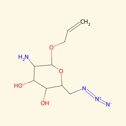 C=CCOC1OC(CN=[N+]=[N-])C(O)C(O)C1N